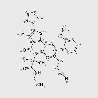 CCNC(=O)C(C)(C)n1c(=O)c2c(C)c(-n3nccn3)sc2n(C[C@H](OCCC#N)c2ccccc2OC)c1=O